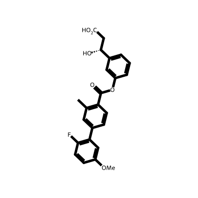 COc1ccc(F)c(-c2ccc(C(=O)Oc3cccc([C@H](O)CC(=O)O)c3)c(C)c2)c1